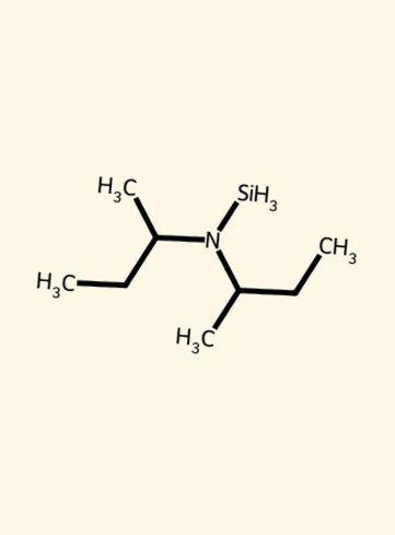 CCC(C)N([SiH3])C(C)CC